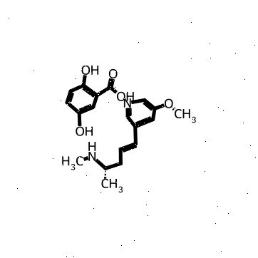 CN[C@@H](C)CC=Cc1cncc(OC)c1.O=C(O)c1cc(O)ccc1O